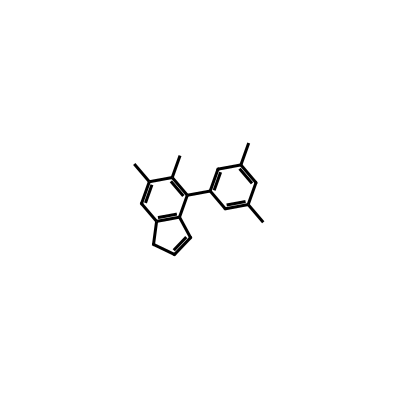 Cc1cc(C)cc(-c2c(C)c(C)cc3c2C=CC3)c1